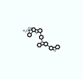 CC1(C)c2ccccc2-c2c1ccc1c2sc2c(-c3ccc(-n4c5ccccc5c5cc(-c6ccc7oc8ccccc8c7c6)ccc54)cc3)cccc21